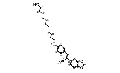 N#CC(=Cc1ccc(OCCCCCCCCCCCO)cc1)c1ccc2c(c1)OCO2